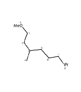 COCCC(C)CCCC(C)C